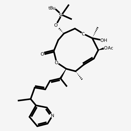 CC(=O)O[C@H]1/C=C/[C@H](C)[C@@H](/C(C)=C/C=C/C(C)c2cccnc2)OC(=O)C[C@H](O[Si](C)(C)C(C)(C)C)CC[C@@]1(C)O